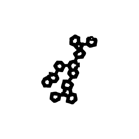 c1ccc(-n2c3ccccc3c3cc(-c4ccc5nc(-c6ccc7c(c6)c6ccccc6n7-c6ccccc6)cc(-c6cccc(-c7ccc8ccccc8n7)c6)c5c4)ccc32)cc1